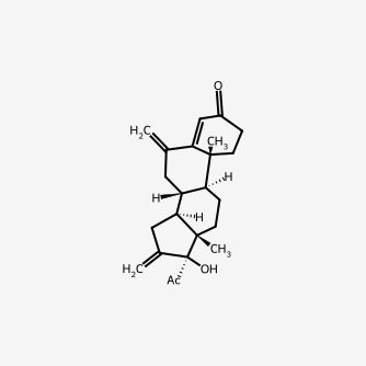 C=C1C[C@@H]2[C@H](CC[C@@]3(C)[C@H]2CC(=C)[C@@]3(O)C(C)=O)[C@@]2(C)CCC(=O)C=C12